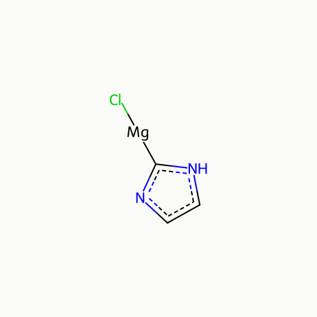 [Cl][Mg][c]1ncc[nH]1